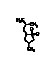 CC(C)CC1CC(C)CS1(=O)=O